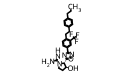 CCCc1ccc(CCc2ccc(-c3noc([C@@H]4[C@@H](O)CCN4C(=N)N)n3)cc2C(F)(F)F)cc1